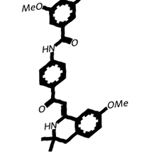 COc1cc(OC)cc(C(=O)Nc2ccc(C(=O)C=C3NC(C)(C)Cc4ccc(OC)cc43)cc2)c1